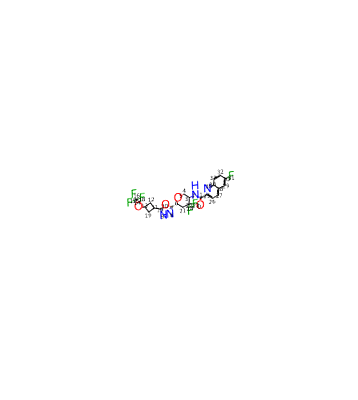 O=C(N[C@@H]1CO[C@@H](c2nnc(C3CC(OC(F)(F)F)C3)o2)CC1(F)F)c1ccc2cc(F)ccc2n1